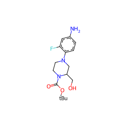 CC(C)(C)OC(=O)N1CCN(c2ccc(N)cc2F)CC1CO